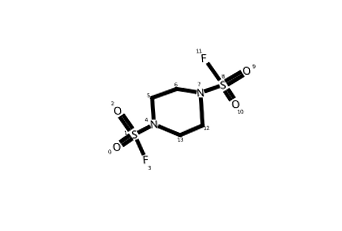 O=S(=O)(F)N1CCN(S(=O)(=O)F)CC1